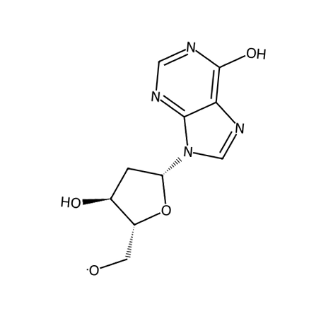 [O]C[C@H]1O[C@@H](n2cnc3c(O)ncnc32)C[C@@H]1O